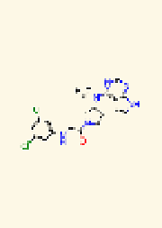 CN(c1ncnc2[nH]ccc12)C1CCN(C(=O)CNc2cc(Cl)cc(Cl)c2)C1